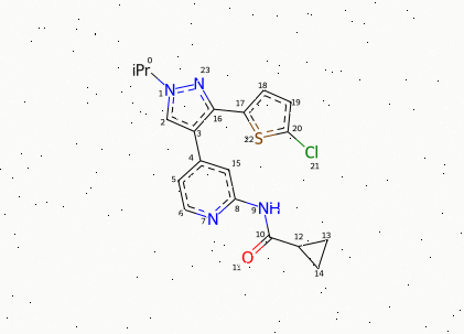 CC(C)n1cc(-c2ccnc(NC(=O)C3CC3)c2)c(-c2ccc(Cl)s2)n1